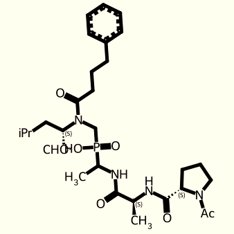 CC(=O)N1CCC[C@H]1C(=O)N[C@@H](C)C(=O)NC(C)P(=O)(O)CN(C(=O)CCCc1ccccc1)[C@H]([C]=O)CC(C)C